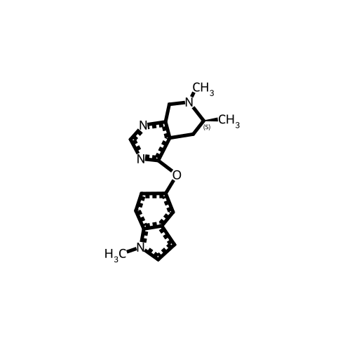 C[C@H]1Cc2c(ncnc2Oc2ccc3c(ccn3C)c2)CN1C